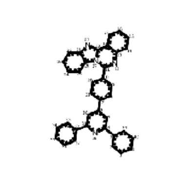 c1ccc(-c2cc(-c3ccc(-c4nc5ccccc5c5nc6ccccc6n45)cc3)cc(-c3ccccc3)n2)cc1